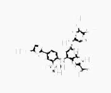 Cc1csc(-c2ccc(Nc3cc(Nc4cnc(C)c(C)n4)nc4[nH]c(C(F)F)nc34)c(S(C)(=O)=O)c2)n1